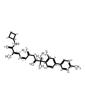 C=C(/C=N\C=C(/C)C(=O)NC1CCC1)CC(=O)C(C)(C)c1ccc(-c2cnc(C)nc2)cc1C